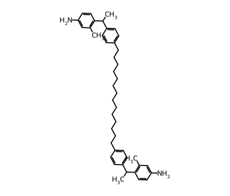 Cc1cc(N)ccc1C(C)c1ccc(CCCCCCCCCCCCCCc2ccc(C(C)c3ccc(N)cc3C)cc2)cc1